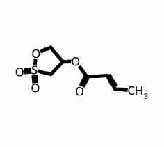 CC=CC(=O)OC1COS(=O)(=O)C1